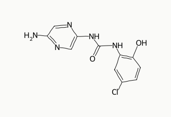 Nc1cnc(NC(=O)Nc2cc(Cl)ccc2O)cn1